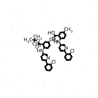 Cc1ccc(Nc2ccc(-c3ccccc3Cl)nc2)c(C(=O)O)c1.Cc1ccc(Nc2ccc(-c3ccccc3Cl)nc2)c(C(=O)OC(C)(C)C)c1